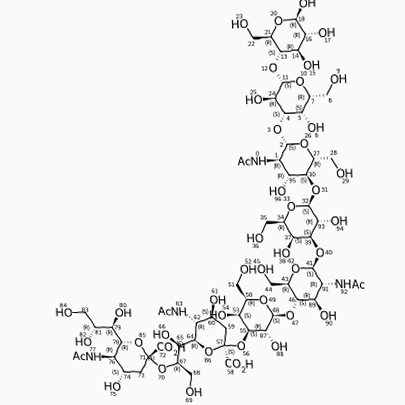 CC(=O)N[C@H]1[C@H](O[C@H]2[C@@H](O)[C@@H](CO)O[C@@H](O[C@H]3[C@H](O)[C@@H](O)[C@H](O)O[C@@H]3CO)[C@@H]2O)O[C@H](CO)[C@@H](O[C@@H]2O[C@H](CO)[C@H](O)[C@H](O[C@@H]3O[C@H](CO)[C@@H](O[C@@H]4O[C@H](CO)[C@H](O)[C@H](O[C@]5(C(=O)O)C[C@H](O)[C@@H](NC(C)=O)[C@H]([C@H](O)[C@@H](CO)O[C@]6(C(=O)O)C[C@H](O)[C@@H](NC(C)=O)[C@H]([C@H](O)[C@H](O)CO)O6)O5)[C@H]4O)[C@H](O)[C@H]3NC(C)=O)[C@H]2O)[C@@H]1O